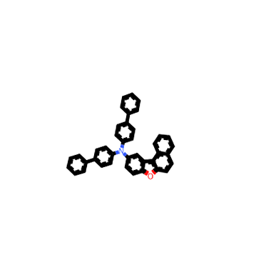 c1ccc(-c2ccc(N(c3ccc(-c4ccccc4)cc3)c3ccc4oc5ccc6ccccc6c5c4c3)cc2)cc1